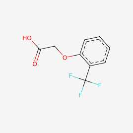 O=C(O)COc1ccccc1C(F)(F)F